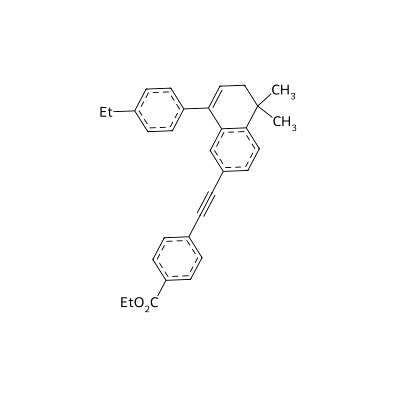 CCOC(=O)c1ccc(C#Cc2ccc3c(c2)C(c2ccc(CC)cc2)=CCC3(C)C)cc1